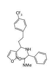 CNC(=O)C(NC(CCc1ccc(C(F)(F)F)cc1)c1ccon1)c1ccccc1